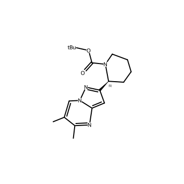 Cc1cn2nc([C@@H]3CCCCN3C(=O)OC(C)(C)C)cc2nc1C